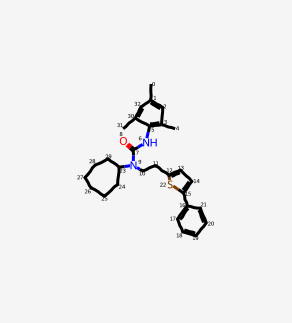 Cc1cc(C)c(NC(=O)N(CCc2ccc(-c3ccccc3)s2)C2CCCCCC2)c(C)c1